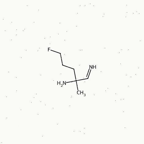 CC(N)(C=N)CCCF